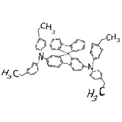 CCc1ccc(N(c2ccc(CC)cc2)c2ccc3c(c2)C2(c4ccccc4-c4ccccc42)c2cc(N(c4ccc(CC)cc4)c4ccc(CC)cc4)ccc2-3)cc1